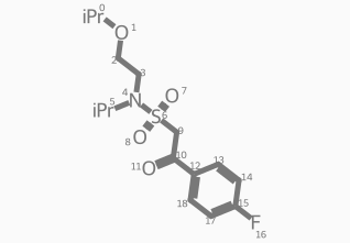 CC(C)OCCN(C(C)C)S(=O)(=O)CC(=O)c1ccc(F)cc1